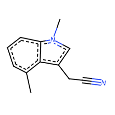 Cc1cccc2c1c(CC#N)cn2C